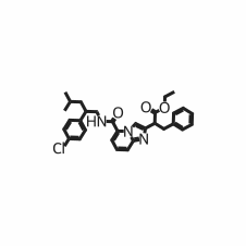 CCOC(=O)C(Cc1ccccc1)c1cn2c(C(=O)NCC(CC(C)C)c3ccc(Cl)cc3)cccc2n1